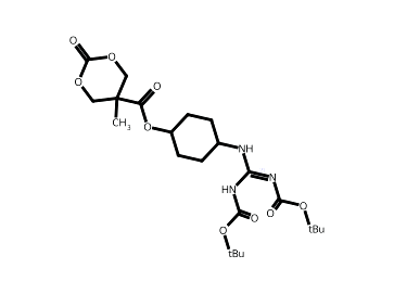 CC(C)(C)OC(=O)/N=C(\NC(=O)OC(C)(C)C)NC1CCC(OC(=O)C2(C)COC(=O)OC2)CC1